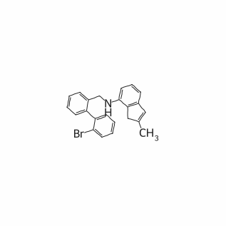 CC1=Cc2cccc(NCc3ccccc3-c3ccccc3Br)c2C1